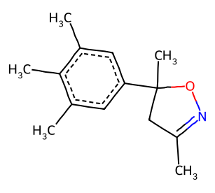 CC1=NOC(C)(c2cc(C)c(C)c(C)c2)C1